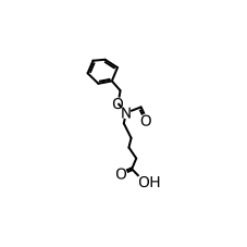 O=CN(CCCCC(=O)O)OCc1ccccc1